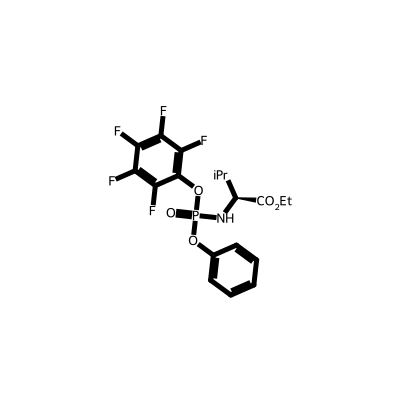 CCOC(=O)[C@@H](NP(=O)(Oc1ccccc1)Oc1c(F)c(F)c(F)c(F)c1F)C(C)C